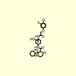 COC1(C2CCCCC2)NCCNC1C(=O)NC12CCC(NC(=O)COc3ccc(Cl)c(F)c3)(CC1)C(O)C2